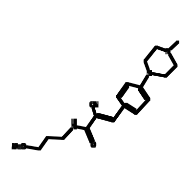 COCCCNC(=O)/C(C#N)=C/c1ccc(N2CCN(C)CC2)cc1